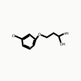 CCCC(O)CCOc1cccc(Cl)c1